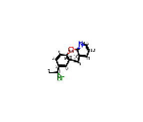 CC(Br)c1ccc2c(c1)Cc1cccnc1O2